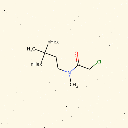 CCCCCCC(C)(CCCCCC)CCN(C)C(=O)CCl